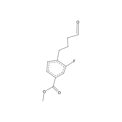 COC(=O)c1ccc(CCCC=O)c(F)c1